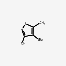 Cc1snc(O)c1C(C)(C)C